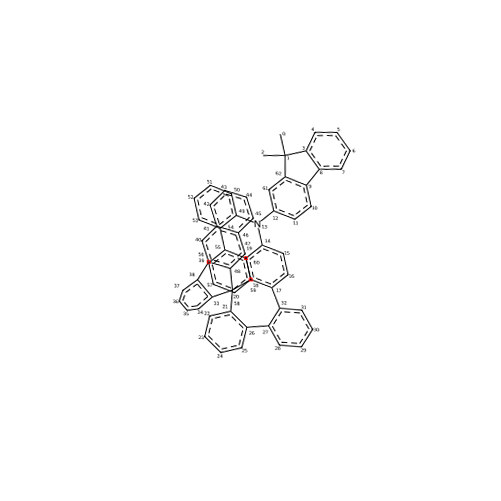 CC1(C)c2ccccc2-c2ccc(N(c3ccc4c(c3)C3(c5ccccc5-c5ccccc5-4)c4ccccc4-c4cc5ccccc5cc43)c3ccccc3-c3ccccc3)cc21